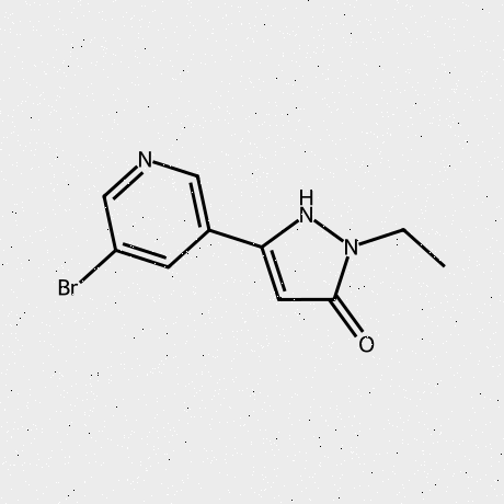 CCn1[nH]c(-c2cncc(Br)c2)cc1=O